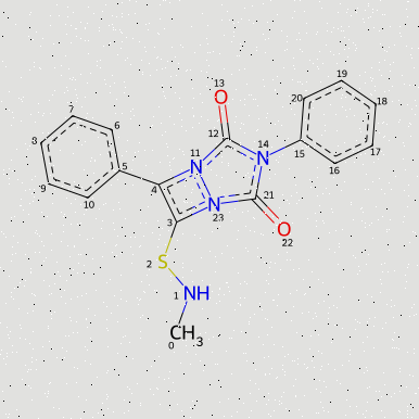 CNSc1c(-c2ccccc2)n2c(=O)n(-c3ccccc3)c(=O)n12